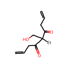 C=CCC(=O)C(CC)(CO)C(=O)CC=C